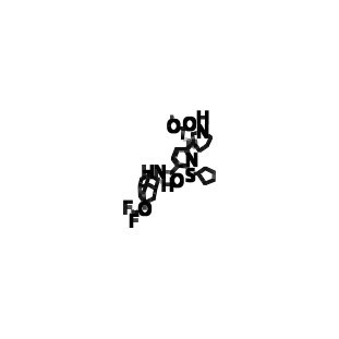 COC(=O)C[C@@]1(c2ccc(C(=O)N[C@H]3C4CC5CC3C[C@@](OC(F)F)(C5)C4)c(SC3CCCC3)n2)CCCNC1